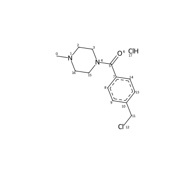 CN1CCN(C(=O)c2ccc(CCl)cc2)CC1.Cl